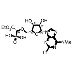 CCOC(=O)[C@H](OC[C@H]1O[C@@H](n2cnc3c(NC)nc(Cl)nc32)[C@H](O)[C@@H]1O)P(=O)(O)O